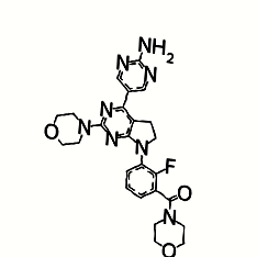 Nc1ncc(-c2nc(N3CCOCC3)nc3c2CCN3c2cccc(C(=O)N3CCOCC3)c2F)cn1